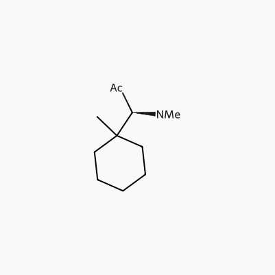 CN[C@H](C(C)=O)C1(C)CCCCC1